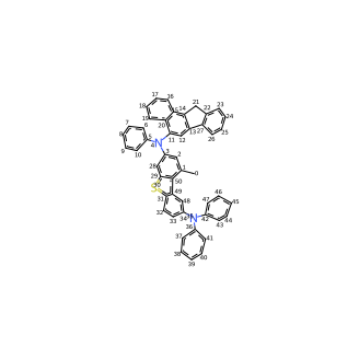 Cc1cc(N(c2ccccc2)c2cc3c(c4ccccc24)Cc2ccccc2-3)cc2sc3ccc(N(c4ccccc4)c4ccccc4)cc3c12